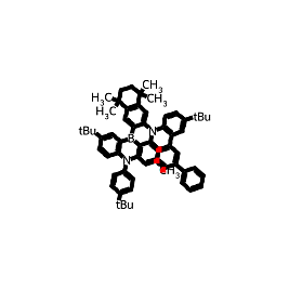 Cc1cc2c3c(c1)N(c1ccc(C(C)(C)C)cc1-c1cccc(-c4ccccc4)c1)c1cc4c(cc1B3c1cc(C(C)(C)C)ccc1N2c1ccc(C(C)(C)C)cc1)C(C)(C)CCC4(C)C